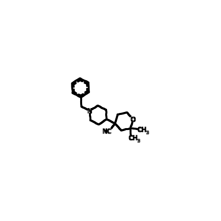 CC1(C)CC(C#N)(C2CCN(Cc3ccccc3)CC2)CCO1